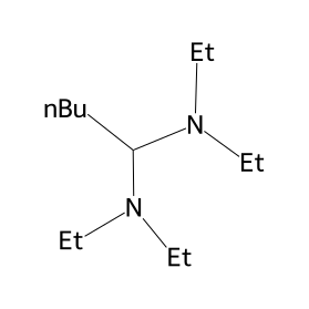 CCCCC(N(CC)CC)N(CC)CC